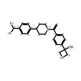 C=C(c1ccc(C2(O)COC2)cc1)N1CCC(c2ccc(C(F)F)cc2)CC1